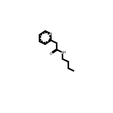 CCCCNC(=O)Cc1ccccn1